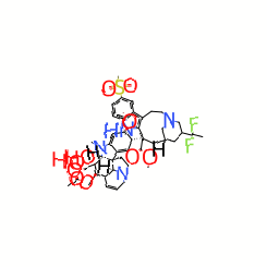 CC[C@]12C=CCN3CC[C@@]4(C5=CC([C@@]6(C(=O)OC)C[C@H]7CC(C(C)(F)F)CN(CCc8c6[nH]c6ccc(S(C)(=O)=O)cc86)C7)C(OC)C=C5N(C)[C@H]4[C@@](O)(C(=O)O)[C@@H]1OC(C)=O)[C@@H]32